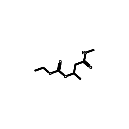 CCOC(=O)OC(C)CC(=O)NC